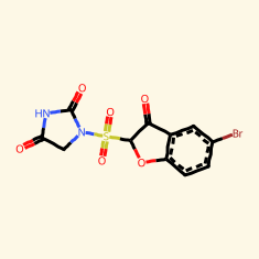 O=C1CN(S(=O)(=O)C2Oc3ccc(Br)cc3C2=O)C(=O)N1